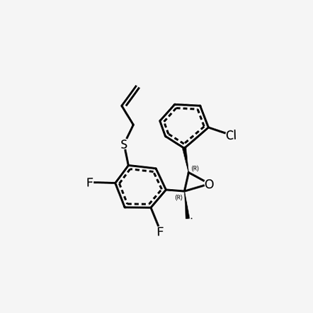 [CH2][C@]1(c2cc(SCC=C)c(F)cc2F)O[C@@H]1c1ccccc1Cl